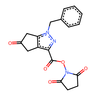 O=C1Cc2c(C(=O)ON3C(=O)CCC3=O)nn(Cc3ccccc3)c2C1